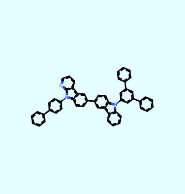 c1ccc(-c2ccc(-n3c4ccc(-c5ccc6c(c5)c5ccccc5n6-c5cc(-c6ccccc6)cc(-c6ccccc6)c5)cc4c4cccnc43)cc2)cc1